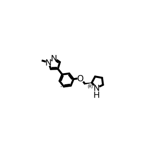 Cn1cc(-c2c[c]cc(OC[C@H]3CCCN3)c2)cn1